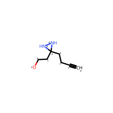 C#CCCC1(CC[O])NN1